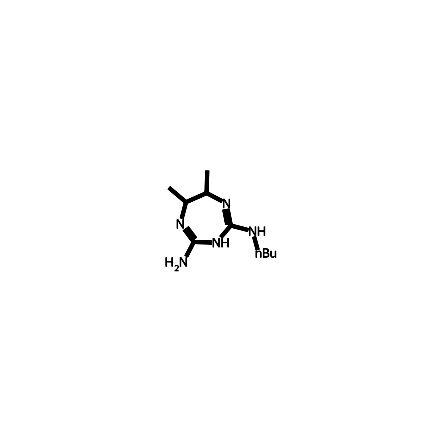 CCCCNC1=NC(C)C(C)N=C(N)N1